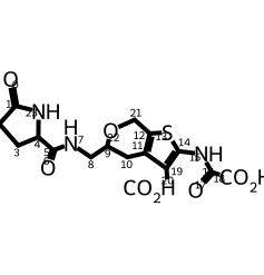 O=C1CCC(C(=O)NCC2Cc3c(sc(NC(=O)C(=O)O)c3C(=O)O)CO2)N1